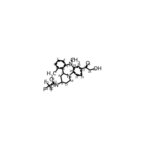 Cc1cccc2c1C1CC(NC(=O)C(F)(F)F)CCN1c1ccc(C(=O)CO)cc1N2C